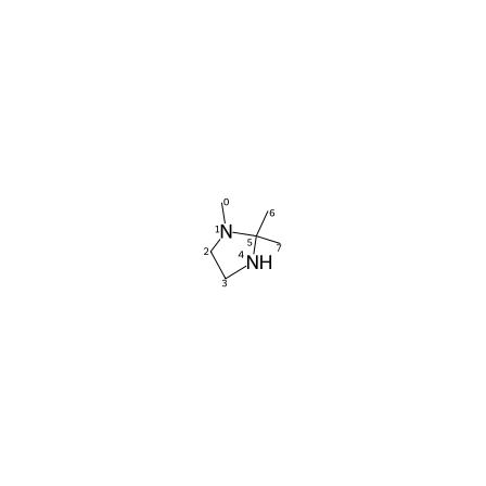 CN1CCNC1(C)C